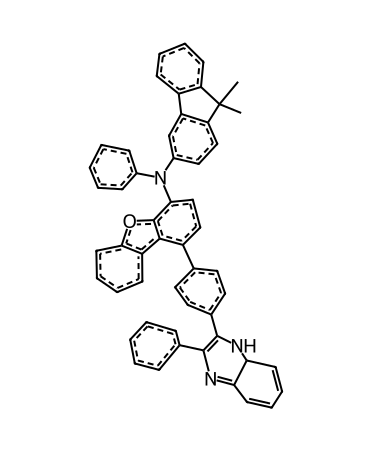 CC1(C)c2ccccc2-c2cc(N(c3ccccc3)c3ccc(-c4ccc(C5=C(c6ccccc6)N=C6C=CC=CC6N5)cc4)c4c3oc3ccccc34)ccc21